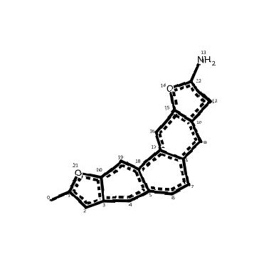 Cc1cc2cc3ccc4cc5cc(N)oc5cc4c3cc2o1